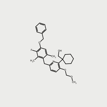 COCOc1ccc(Cc2c(C)cc(OCc3ccccc3)c(F)c2C)nc1C1(CO)CCCCC1